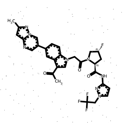 CC(=O)c1cn(CC(=O)N2C[C@H](F)C[C@H]2C(=O)Nc2ccn(CC(F)(F)F)n2)c2ccc(-c3cnc4cc(C)nn4c3)cc12